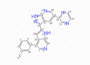 Fc1cccc(-c2cncc3[nH]c(-c4n[nH]c5ncc(-c6cnccn6)cc45)cc23)c1